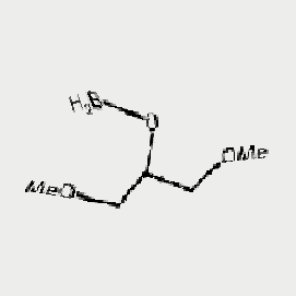 BOC(COC)COC